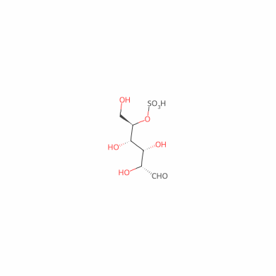 O=C[C@H](O)[C@@H](O)[C@H](O)[C@@H](CO)OS(=O)(=O)O